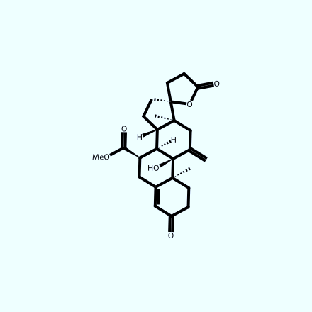 C=C1C[C@@]2(C)[C@@H](CC[C@@]23CCC(=O)O3)[C@@H]2[C@H](C(=O)OC)CC3=CC(=O)CC[C@]3(C)[C@@]12O